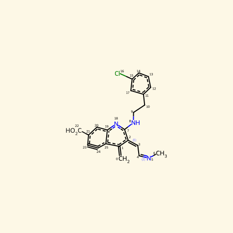 C=c1/c(=C\C=N/C)c(NCCc2cccc(Cl)c2)nc2cc(C(=O)O)c#cc12